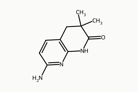 CC1(C)Cc2ccc(N)nc2NC1=O